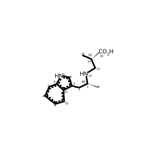 C[C@H](Cc1c[nH]c2ccccc12)NC[C@H](C)C(=O)O